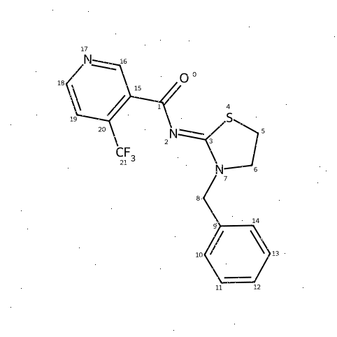 O=C(N=C1SCCN1Cc1ccccc1)c1cnccc1C(F)(F)F